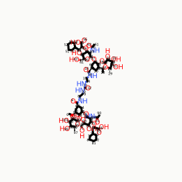 CC[C@H]1C[C@@H](C(=O)NCCNC(=O)NCCNC(=O)[C@@H]2C[C@H](CC)[C@@H](O[C@@H]3O[C@@H](C)[C@@H](O)[C@@H](O)[C@@H]3O)[C@H](O[C@@H]3O[C@H](CO)[C@H](O)[C@H](O[C@@H](CC4CCCCC4)C(=O)O)[C@H]3NC(C)=O)C2)C[C@@H](O[C@@H]2O[C@H](CO)[C@H](O)[C@H](O[C@@H](CC3CCCCC3)C(=O)O)[C@H]2NC(C)=O)[C@@H]1O[C@@H]1O[C@@H](C)[C@@H](O)[C@@H](O)[C@@H]1O